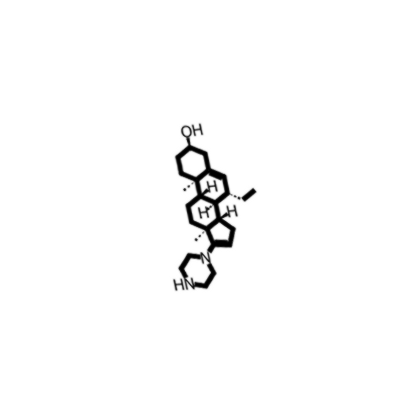 CC[C@H]1C=C2C[C@H](O)CC[C@]2(C)[C@H]2CC[C@]3(C)C(N4CCNCC4)=CC[C@H]3[C@H]12